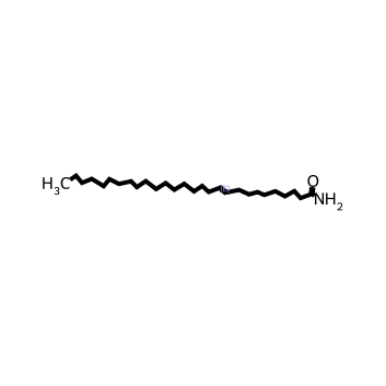 CCCCCCCCCCCCCCCCC/C=C/CCCCCCCCC(N)=O